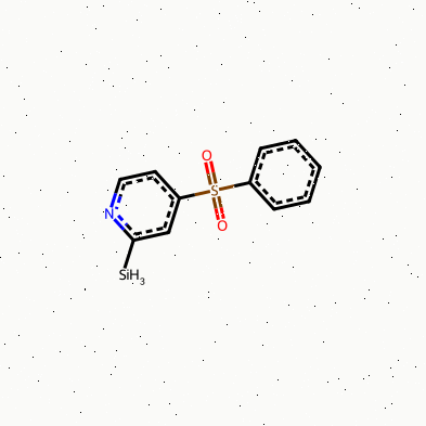 O=S(=O)(c1ccccc1)c1ccnc([SiH3])c1